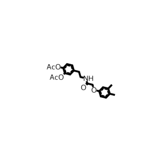 CC(=O)Oc1ccc(CCNC(=O)COc2ccc(C)c(C)c2)cc1OC(C)=O